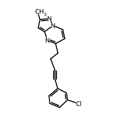 Cc1cc2nc(CCC#Cc3cccc(Cl)c3)ccn2n1